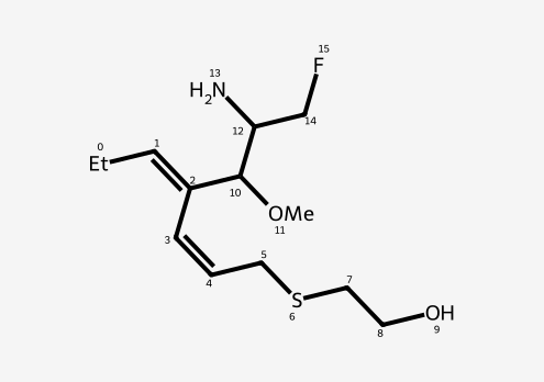 CC/C=C(\C=C/CSCCO)C(OC)C(N)CF